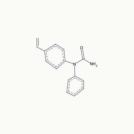 C=Cc1ccc(N(C(N)=O)c2ccccc2)cc1